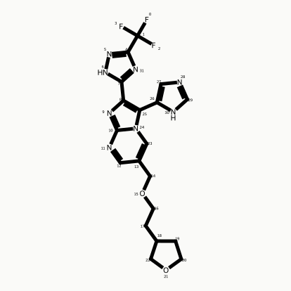 FC(F)(F)c1n[nH]c(-c2nc3ncc(COCCC4CCOC4)cn3c2-c2cnc[nH]2)n1